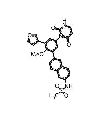 COc1c(-c2ccoc2)cc(-n2c(=O)cc[nH]c2=O)cc1-c1ccc2cc(NS(C)(=O)=O)ccc2c1